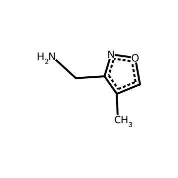 Cc1conc1CN